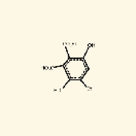 CCOC(=O)c1c(O)cc(CC)c(C)c1C(=O)O